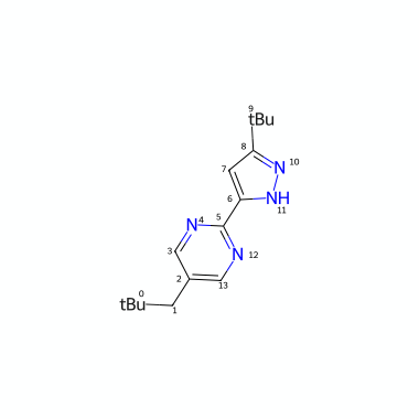 CC(C)(C)Cc1cnc(-c2cc(C(C)(C)C)n[nH]2)nc1